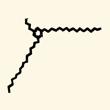 [CH2]CCCc1cc(CCCCCCCCCCCCCCCCC)nc(CCCCCCCCCCCCCCCCC)c1